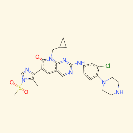 Cc1c(-c2cc3cnc(Nc4ccc(N5CCNCC5)c(Cl)c4)nc3n(CC3CC3)c2=O)ncn1S(C)(=O)=O